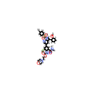 COc1ccccc1-c1cn(S(=O)(=O)c2ccc(C)cc2)c2ncc(-c3cc(F)c(NC(=O)OCCN4CCOCC4)c(C(=O)N(C)C)c3)cc12